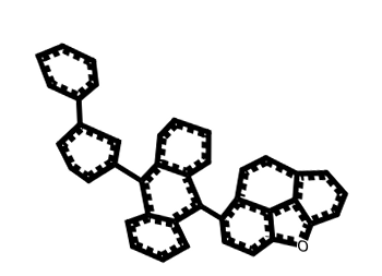 c1ccc(-c2cccc(-c3c4ccccc4c(-c4ccc5oc6cccc7ccc4c5c76)c4ccccc34)c2)cc1